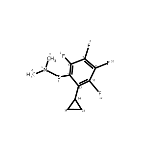 CN(C)Sc1c(F)c(F)c(F)c(F)c1C1CC1